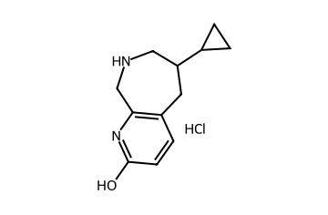 Cl.Oc1ccc2c(n1)CNCC(C1CC1)C2